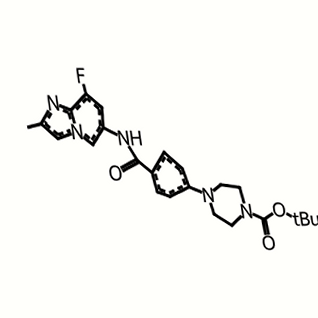 Cc1cn2cc(NC(=O)c3ccc(N4CCN(C(=O)OC(C)(C)C)CC4)cc3)cc(F)c2n1